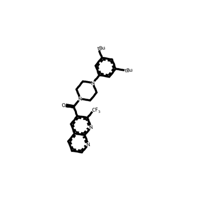 CC(C)(C)c1cc(N2CCN(C(=O)c3cc4cccnc4nc3C(F)(F)F)CC2)cc(C(C)(C)C)c1